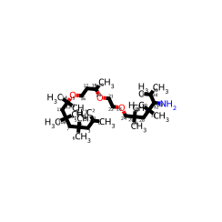 CC(C)CC(C)(C)CC(C)(C)CC(C)(C)OCCC(C)OCCOCC(C)(C)CC(C)(C)C(N)C(C)C